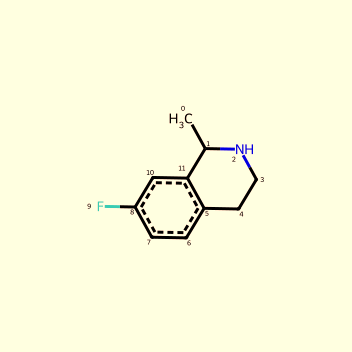 CC1NCCc2ccc(F)cc21